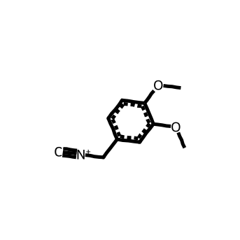 [C-]#[N+]Cc1ccc(OC)c(OC)c1